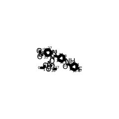 CCOP(=O)(COn1c(-c2ccc(NC(=O)c3ccc(F)cc3)cc2)nc2ccc([N+](=O)[O-])cc21)OCC